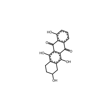 O=C1c2cccc(O)c2C(=O)c2c(O)c3c(c(O)c21)CC(O)CC3